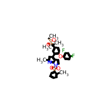 CCS(=O)(=O)C(C)(C)c1ccc(Oc2ccc(F)cc2F)c(-c2cc(C)nc3c2ccn3S(=O)(=O)c2ccccc2C)c1